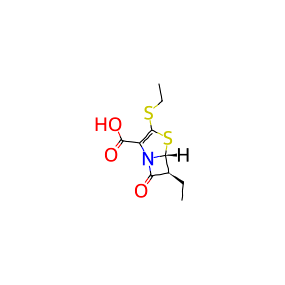 CCSC1=C(C(=O)O)N2C(=O)[C@H](CC)[C@H]2S1